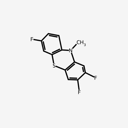 CN1c2ccc(F)cc2Sc2cc(F)c(F)cc21